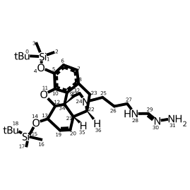 CC(C)(C)[Si](C)(C)Oc1ccc2c3c1OC1C(O[Si](C)(C)C(C)(C)C)C=C[C@H]4[C@@H](C2)N(CCCNC=NN)CC[C@]314